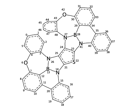 c1ccc2c(c1)Oc1cccc3c1B1N(c4ccccc4-3)c3sc4c(c3N12)N1B2c3c(cccc3-c3ccccc3N24)Oc2ccccc21